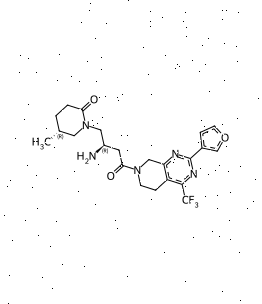 C[C@@H]1CCC(=O)N(C[C@H](N)CC(=O)N2CCc3c(nc(-c4ccoc4)nc3C(F)(F)F)C2)C1